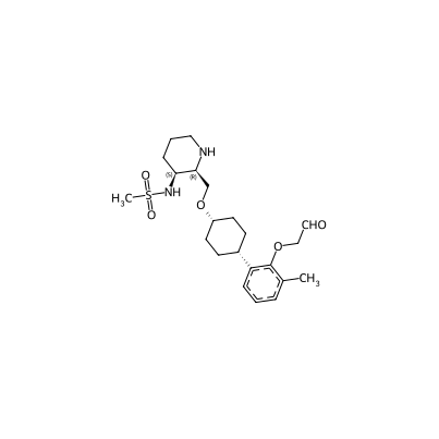 Cc1cccc([C@H]2CC[C@@H](OC[C@@H]3NCCC[C@@H]3NS(C)(=O)=O)CC2)c1OCC=O